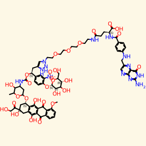 COc1cccc2c1C(=O)c1c(O)c3c(c(O)c1C2=O)C[C@@](O)(C(=O)CO)C[C@@H]3OC1CC(NC(=O)O[C@@H](CC2=CN(CCOCCOCCOCCNC(=O)CC[C@H](NC(=O)c3ccc(NCc4cnc5nc(N)[nH]c(=O)c5n4)cc3)C(=O)O)NN2)c2ccc(O[C@@H]3OC(CO)[C@H](O)C(O)[C@@H]3O)c([N+](=O)[O-])c2)C(O)C(C)O1